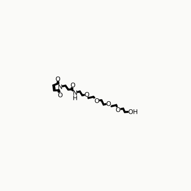 O=C(CCN1C(=O)C=CC1=O)NCCOCCOCCOCCOCCO